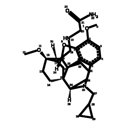 COc1ccc2c3c1O[C@H]1[C@@]4(OC)CC[C@@]5(C[C@@H]4CNCC(N)=O)[C@@H](C2)N(CC2CC2)CC[C@]315